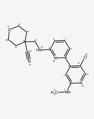 CNc1cc(-c2cccc(NCC3(C#N)CCOCC3)n2)c(Cl)cn1